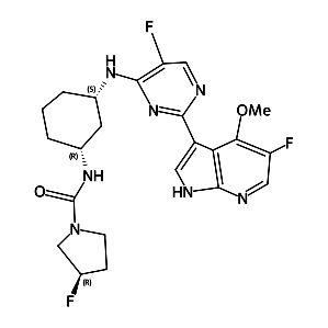 COc1c(F)cnc2[nH]cc(-c3ncc(F)c(N[C@H]4CCC[C@@H](NC(=O)N5CC[C@@H](F)C5)C4)n3)c12